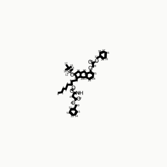 CCCCCC(CCC1C(O[Si](C)(C)C(C)(C)C)CC2Cc3c(cccc3OCC(=O)OCc3ccccc3)CC21)OOC(=N)CC(=O)OCc1ccccc1